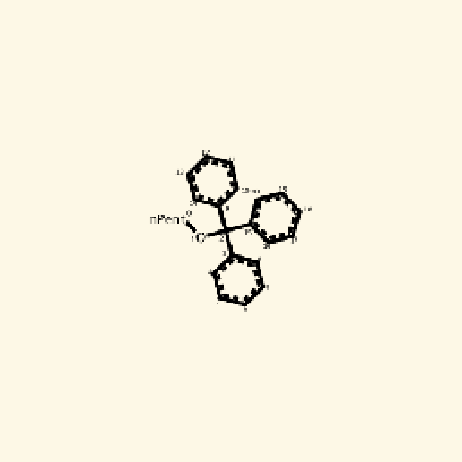 CCCCCOC(c1ccccc1)(c1ccccc1)c1ccccc1